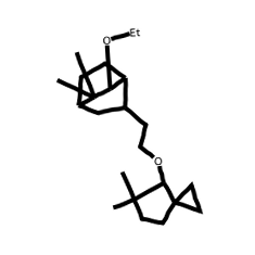 CCOC1C2CCC(CC2CCOC2C(C)(C)CCC23CC3)C1(C)C